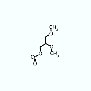 COCC(C[O][Cr]=[O])OC